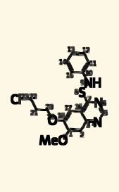 COc1cc2ncnc(SNc3ccccc3)c2cc1OCCCCl